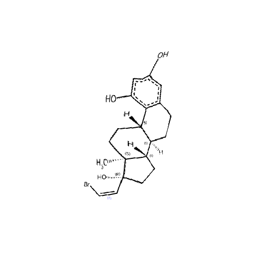 C[C@]12CC[C@@H]3c4c(O)cc(O)cc4CC[C@H]3[C@@H]1CC[C@@]2(O)/C=C\Br